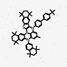 Cc1cc2c3c(c1)N(c1ccc(-c4ccc(C(C)(C)C)cc4)cc1)c1c(sc4cc5c(cc14)C(C)(C)CCC5(C)C)B3c1cc3c(cc1N2c1ccc2c(c1)C(C)(C)CCC2(C)C)C(C)(C)CCC3(C)C